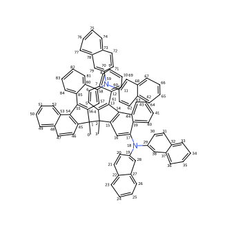 CC1(C2(C)c3ccc4ccccc4c3-c3c2cc(N(c2ccc4ccccc4c2)c2ccc4ccccc4c2)c2ccccc32)c2ccc3ccccc3c2-c2c1cc(N(c1ccc3ccccc3c1)c1ccc3ccccc3c1)c1ccccc21